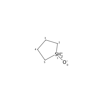 [O-][SH2+]1CCCC1